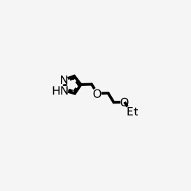 CCOCCOCc1cn[nH]c1